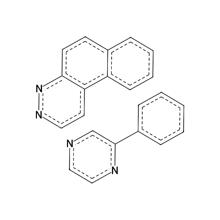 c1ccc(-c2cnccn2)cc1.c1ccc2c(c1)ccc1nnccc12